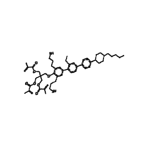 C=C(C)C(=O)OCC(COC(=O)C(=C)C)(COC(=O)C(=C)C)COc1c(CCCS)cc(-c2ccc(-c3ccc(C4CCC(CCCCC)CC4)cc3)cc2CC)cc1CCCS